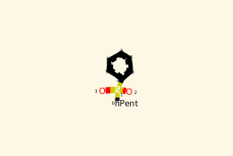 [CH2]CCCCS(=O)(=O)c1ccccc1